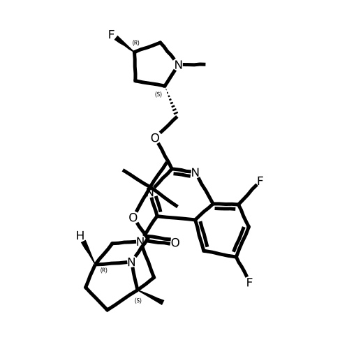 CN1C[C@H](F)C[C@H]1COc1nc(N2C[C@H]3CC[C@@](C)(C2)N3C(=O)OC(C)(C)C)c2cc(F)cc(F)c2n1